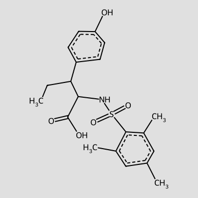 CCC(c1ccc(O)cc1)C(NS(=O)(=O)c1c(C)cc(C)cc1C)C(=O)O